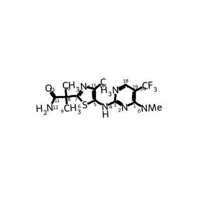 CNc1nc(Nc2sc(C(C)(C)C(N)=O)nc2C)ncc1C(F)(F)F